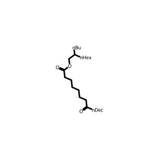 CCCCCCCCCCC(=O)CCCCCCC(=O)OCC(CCCC)CCCCCC